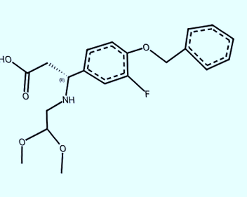 COC(CN[C@H](CC(=O)O)c1ccc(OCc2ccccc2)c(F)c1)OC